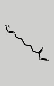 NN=NCCCCCC(=O)N=O